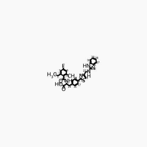 CCc1cc(F)cc(C)c1C(=O)NC(Cc1ccc(-c2nc(CNc3nc4ccccc4[nH]3)cs2)cc1)C(=O)O